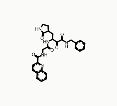 O=C(CNC(=O)c1ccc2ccccc2n1)NC(CC1CCNC1=O)C(=O)C(=O)NCc1ccccc1